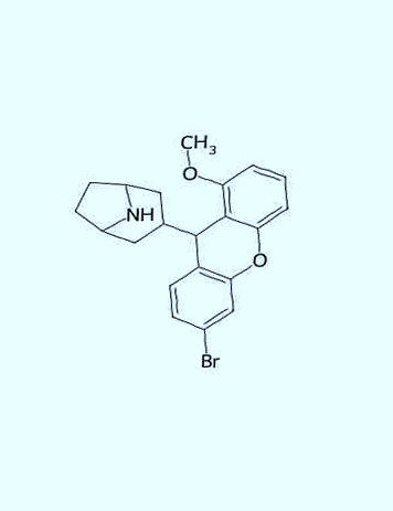 COc1cccc2c1C(C1CC3CCC(C1)N3)c1ccc(Br)cc1O2